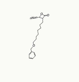 CCCCCCCCCC1OC(=O)C1CCCCCCCCOCc1ccccc1